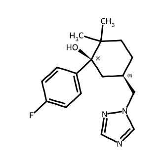 CC1(C)CC[C@@H](Cn2cncn2)C[C@]1(O)c1ccc(F)cc1